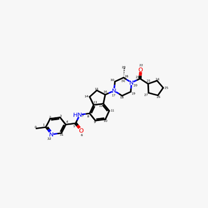 Cc1ccc(C(=O)Nc2cccc3c2CCC3N2CCN(C(=O)C3CCCC3)[C@@H](C)C2)cn1